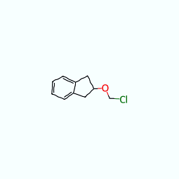 ClCOC1Cc2ccccc2C1